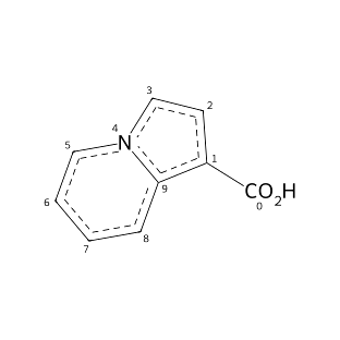 O=C(O)c1ccn2ccccc12